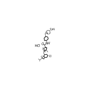 Cc1cc(C(=O)Nc2ccc(CN3CCC(O)CC3)cc2)nn1Cc1cc(Cl)cc2cc(C(C)C)oc12.Cl